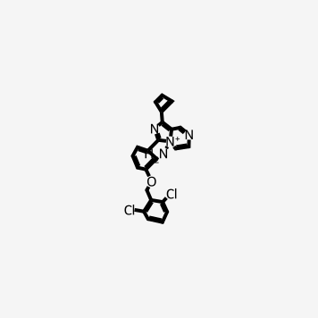 N[N+]12C=CN=CC1=C(C1=CC=C1)N=C2c1cccc(OCc2c(Cl)cccc2Cl)c1